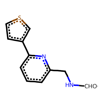 O=[C]NCc1cccc(-c2ccsc2)n1